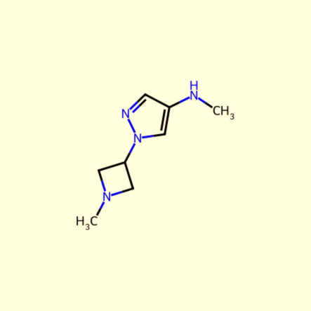 CNc1cnn(C2CN(C)C2)c1